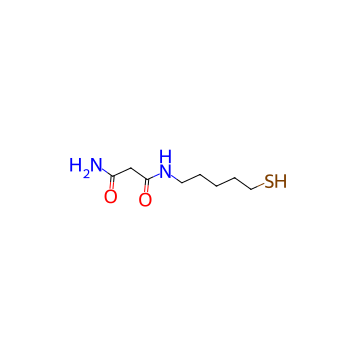 NC(=O)CC(=O)NCCCCCS